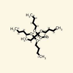 CCCCOC(CC)(OCCCC)C([O][Nb])(OCCCC)OCCCC